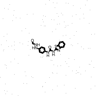 O=CNNc1ccc(NC(=O)Nc2nc3ccccc3s2)cc1